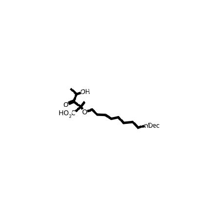 CCCCCCCCCCCCCCCCCCOC(C)(C(=O)O)C(=O)C(C)O